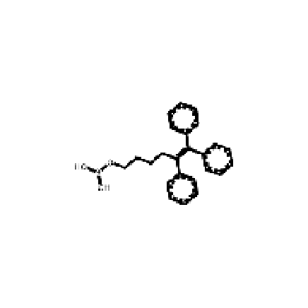 OB(O)OCCCCC(=C(c1ccccc1)c1ccccc1)c1ccccc1